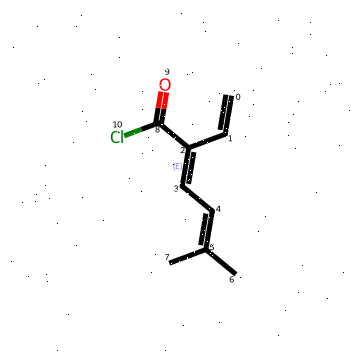 C=C/C(=C\C=C(C)C)C(=O)Cl